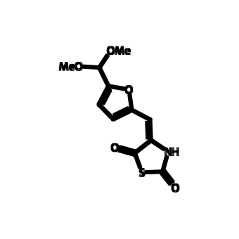 COC(OC)c1ccc(C=C2NC(=O)SC2=O)o1